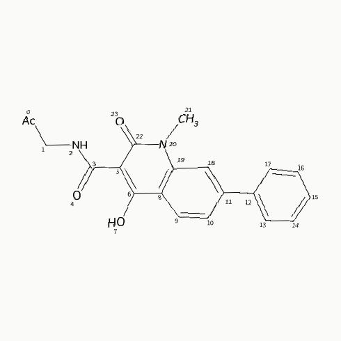 CC(=O)CNC(=O)c1c(O)c2ccc(-c3ccccc3)cc2n(C)c1=O